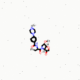 CCCN1CCN(c2ccc(C(=O)NC(CC(C)C)C(=O)N3C[C@H](OCC)[C@H]4OCC(=O)[C@H]43)cc2)CC1